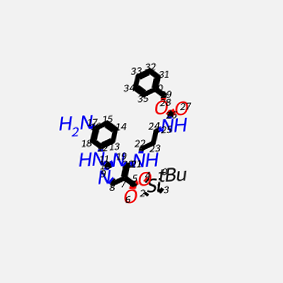 CC(C)(C)[Si](C)(C)OC(=O)c1cnc(Nc2cccc(N)c2)nc1NCCCNC(=O)OCc1ccccc1